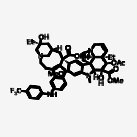 CC[C@]1(O)C[C@H]2CN(CCC3=C(Cc4ccc(Nc5ccc(C(F)(F)F)cc5)cc43)[C@@](C(=O)OC)(C3C=C4C(=CC3OC)N(C)[C@H]3[C@@](O)(C(=O)OC)[C@H](OC(C)=O)[C@]5(CC)C=CCN6CC[C@]43[C@@H]65)C2)C1